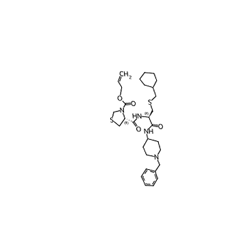 C=CCOC(=O)N1CSC[C@H]1C(=O)N[C@@H](CSCC1CCCCC1)C(=O)NC1CCN(Cc2ccccc2)CC1